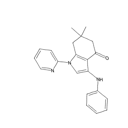 CC1(C)CC(=O)c2c(Nc3ccccc3)cn(-c3ccccn3)c2C1